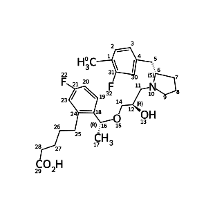 Cc1ccc(C[C@@H]2CCCN2C[C@@H](O)CO[C@H](C)c2ccc(F)cc2CCCCC(=O)O)cc1F